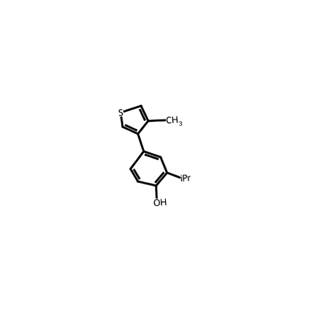 Cc1cscc1-c1ccc(O)c(C(C)C)c1